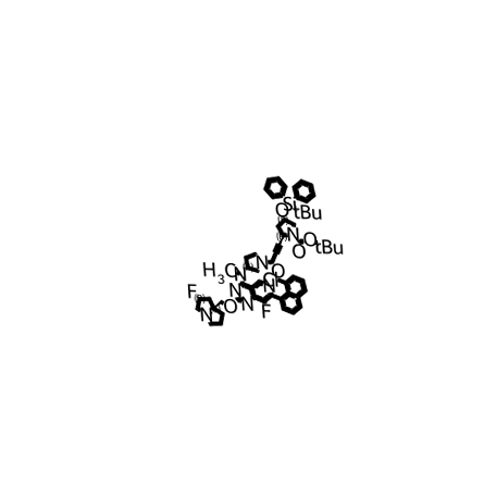 CN(c1nc(OC[C@@]23CCCN2C[C@H](F)C3)nc2c(F)c(-c3cccc4cccc(Cl)c34)ncc12)[C@@H]1CCN(C(=O)C#C[C@H]2C[C@H](O[Si](c3ccccc3)(c3ccccc3)C(C)(C)C)CN2C(=O)OC(C)(C)C)C1